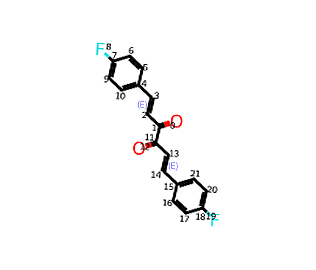 O=C(/C=C/c1ccc(F)cc1)C(=O)/C=C/c1ccc(F)cc1